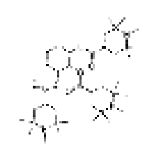 CN1C(C)(C)CC(C(=O)OC2CCCC(OC(=O)C3CC(C)(C)N(C)C(C)(C)C3)C2OC(=O)C2CC(C)(C)N(C)C(C)(C)C2)CC1(C)C